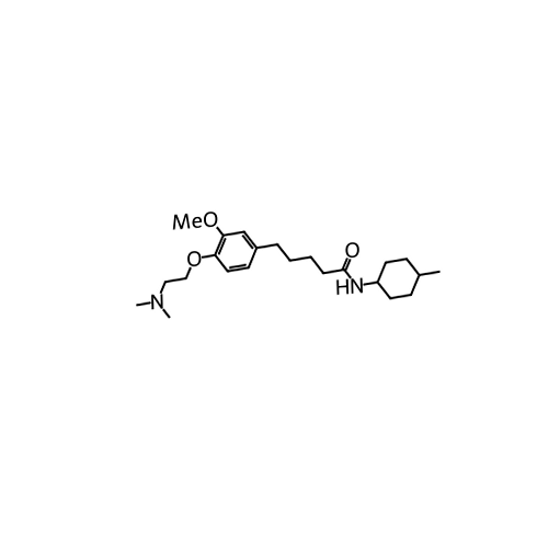 COc1cc(CCCCC(=O)NC2CCC(C)CC2)ccc1OCCN(C)C